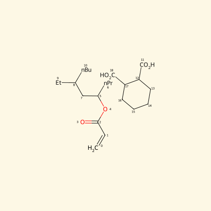 C=CC(=O)OC(CCC)CC(CC)CCCC.O=C(O)C1CCCCC1C(=O)O